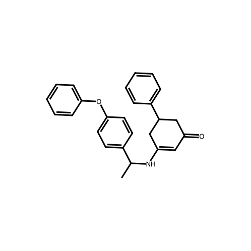 CC(NC1=CC(=O)CC(c2ccccc2)C1)c1ccc(Oc2ccccc2)cc1